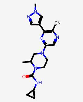 CC1CN(c2cnc(C#N)c(-c3cnn(C)c3)n2)CCN1C(=O)NC1CC1